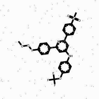 COOSc1ccc(-c2cc(Nc3ccc(OC(F)(F)F)cc3)cc(-c3ccc(S(C)(=O)=O)cc3)n2)cc1